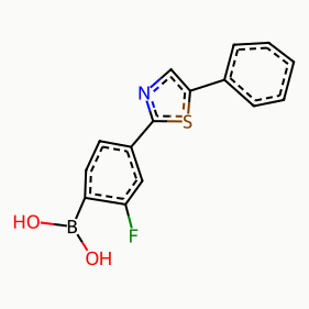 OB(O)c1ccc(-c2ncc(-c3ccccc3)s2)cc1F